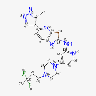 Cc1[nH]ncc1-c1ccc2nc(Nc3cc(N4CCN(CCC(C)(F)F)CC4)ccn3)sc2n1